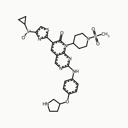 CS(=O)(=O)N1CCC(n2c(=O)c(-c3nc([S+]([O-])C4CC4)cs3)cc3cnc(Nc4ccc(OC5CCNC5)cc4)nc32)CC1